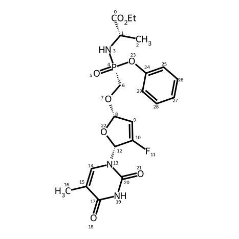 CCOC(=O)[C@H](C)N[P@@](=O)(CO[C@@H]1C=C(F)[C@H](n2cc(C)c(=O)[nH]c2=O)O1)Oc1ccccc1